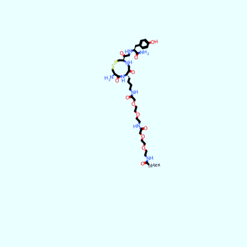 CCCCCCC(=O)NCCOCCOCC(=O)NCCOCCOCC(=O)NCCCC[C@@H]1NC(=O)[C@@H](N)CSSC[C@@H](C(=O)CN[C@@H](Cc2ccc(O)cc2)C(N)=O)NCC1=O